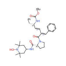 CC(C)C[C@@H](/C=C/C(=C\c1ccccc1)C(=O)N1CCC[C@@H]1C(=O)NC1CC(C)(C)N(O)C(C)(C)C1)NC(=O)OC(C)(C)C